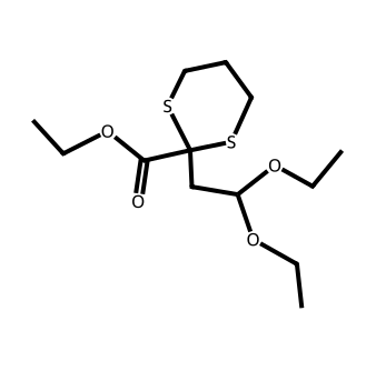 CCOC(=O)C1(CC(OCC)OCC)SCCCS1